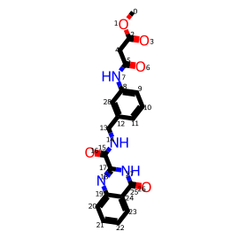 COC(=O)CC(=O)Nc1cccc(CNC(=O)c2nc3ccccc3c(=O)[nH]2)c1